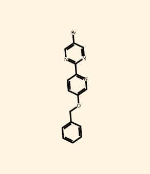 Brc1cnc(-c2ccc(OCc3ccccc3)cn2)nc1